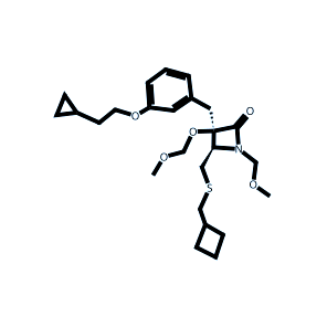 COCO[C@@]1(Cc2cccc(OCCC3CC3)c2)C(=O)N(COC)[C@H]1CSCC1CCC1